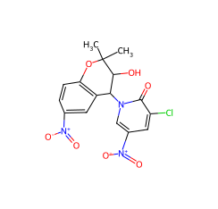 CC1(C)Oc2ccc([N+](=O)[O-])cc2C(n2cc([N+](=O)[O-])cc(Cl)c2=O)C1O